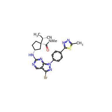 CNC(=O)[C@@]1([C@H](C)C#N)CC[C@@H](Nc2ncc3c(Br)nn(-c4ccc(-c5nnc(C)s5)cc4)c3n2)C1